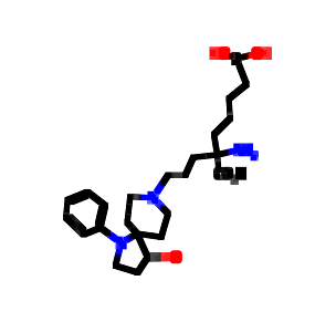 NC(CCCCB(O)O)(CCCN1CCC2(CC1)C(=O)CCN2c1ccccc1)C(=O)O